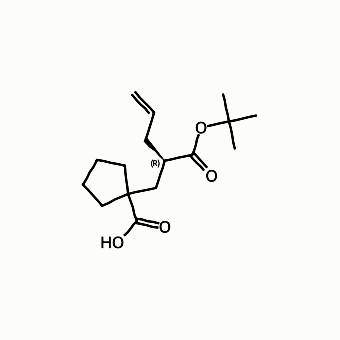 C=CC[C@H](CC1(C(=O)O)CCCC1)C(=O)OC(C)(C)C